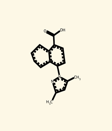 Cc1cc(C)n(-c2ccc(C(=O)O)c3ccccc23)n1